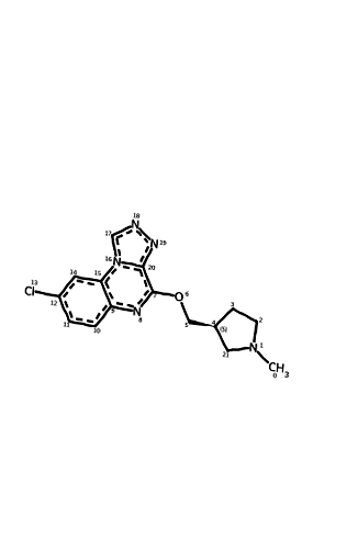 CN1CC[C@H](COc2nc3ccc(Cl)cc3n3cnnc23)C1